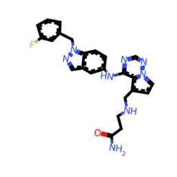 NC(=O)CCNCc1ccn2ncnc(Nc3ccc4c(cnn4Cc4cccc(F)c4)c3)c12